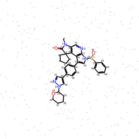 CN1C(=O)C2(CCCC2)c2c1cnc1c2c(-c2ccc(-c3cnn(C4CCCCO4)c3)cc2)cn1[S+]([O-])c1ccccc1